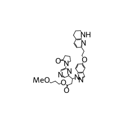 COCCCOC(=O)CC(c1cncc(N2CCCC2=O)n1)n1ncc2cc(OCCc3ccc4c(n3)NCCC4)ccc21